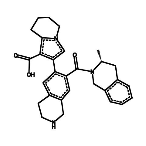 C[C@@H]1Cc2ccccc2CN1C(=O)c1cc2c(cc1-c1cn3c(c1C(=O)O)CCCC3)CCNC2